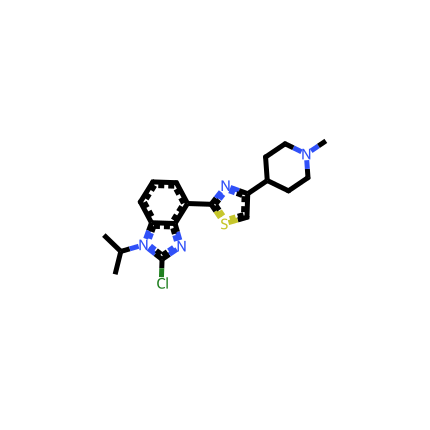 CC(C)n1c(Cl)nc2c(-c3nc(C4CCN(C)CC4)cs3)cccc21